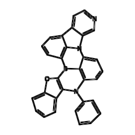 c1ccc(N2c3cccc4c3B(c3oc5ccccc5c32)c2cccc3c5ccncc5n-4c23)cc1